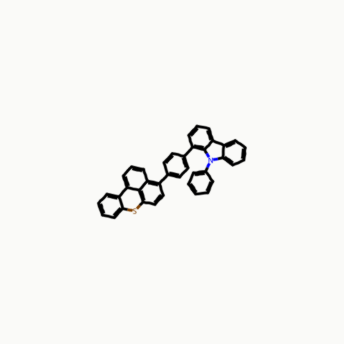 c1ccc(-n2c3ccccc3c3cccc(-c4ccc(-c5ccc6c7c(cccc57)-c5ccccc5S6)cc4)c32)cc1